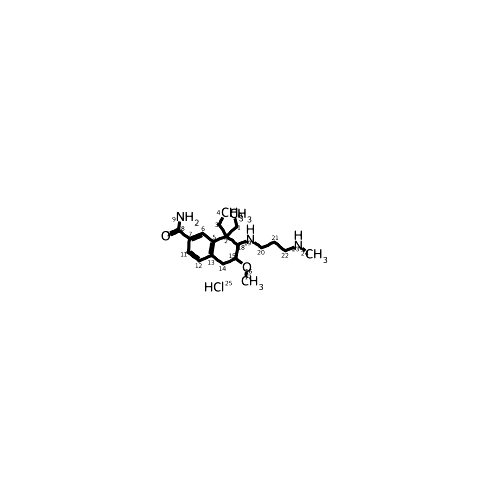 CCC1(CC)c2cc(C(N)=O)ccc2CC(OC)C1NCCCNC.Cl